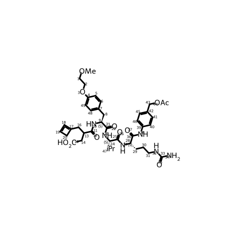 COCCOc1ccc(C[C@H](NC(=O)C(CC(=O)O)CC2=C=CC2)C(=O)N[C@H](C(=O)N[C@@H](CCCNC(N)=O)C(=O)Nc2ccc(COC(C)=O)cc2)C(C)C)cc1